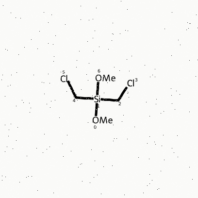 CO[Si](CCl)(CCl)OC